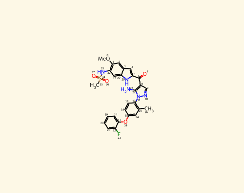 COc1cc2cc(C(=O)c3cnn(-c4ccc(Oc5ccccc5F)cc4C)c3N)[nH]c2cc1NS(C)(=O)=O